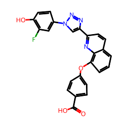 O=C(O)c1ccc(Oc2cccc3ccc(-c4cn(-c5ccc(O)c(F)c5)nn4)nc23)cc1